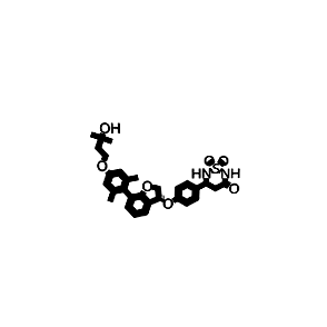 Cc1cc(OCCC(C)(C)O)cc(C)c1-c1cccc2c1OC[C@H]2Oc1ccc(C2CC(=O)NS(=O)(=O)N2)cc1